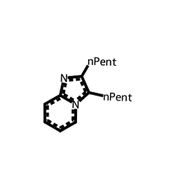 CCCCCc1nc2ccccn2c1CCCCC